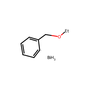 CCOCc1[c]cccc1.[BiH3]